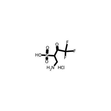 Cl.NCC(C(=O)C(F)(F)F)S(=O)(=O)O